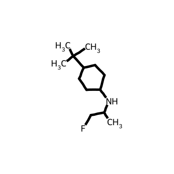 CC(CF)NC1CCC(C(C)(C)C)CC1